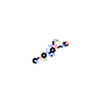 C=CC(=O)Nc1cc2c(Nc3ccc(OCc4ccccn4)c(Cl)c3)ncnc2cc1OCCCN1CC2CC1CO2